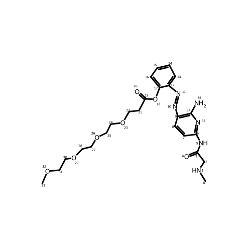 CNCC(=O)Nc1ccc(/N=N/c2ccccc2OC(=O)CCOCCOCCOCCOC)c(N)n1